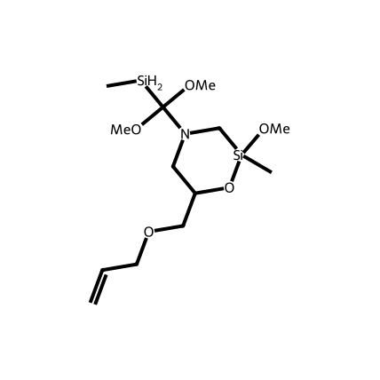 C=CCOCC1CN(C(OC)(OC)[SiH2]C)C[Si](C)(OC)O1